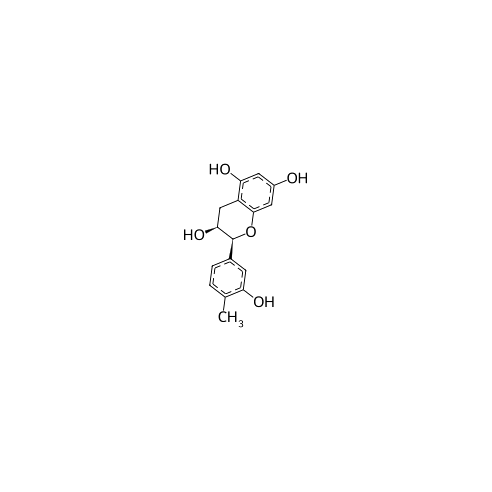 Cc1ccc([C@@H]2Oc3cc(O)cc(O)c3C[C@@H]2O)cc1O